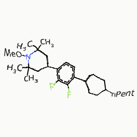 CCCCCC1CCC(c2ccc(C3CC(C)(C)N(OC)C(C)(C)C3)c(F)c2F)CC1